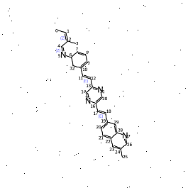 C/C=C(C)\C=N/C1C=CC=C(/C=C/c2cnc(/C=C/c3ccc4cc(C)cnc4c3)cn2)C1